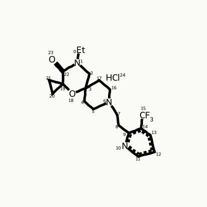 CCN1CC2(CCN(CCc3ncccc3C(F)(F)F)CC2)OC2(CC2)C1=O.Cl